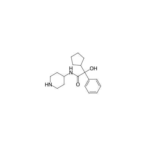 O=C(NC1CCNCC1)C(O)(c1ccccc1)C1CCCC1